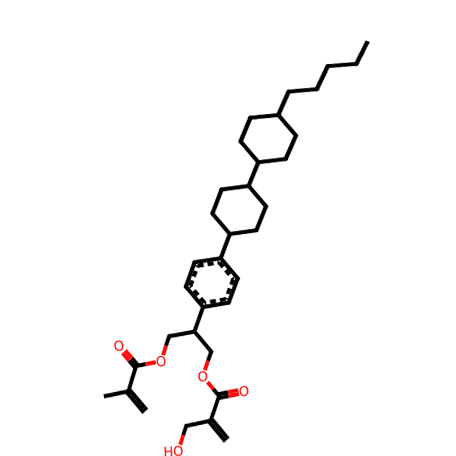 C=C(C)C(=O)OCC(COC(=O)C(=C)CO)c1ccc(C2CCC(C3CCC(CCCCC)CC3)CC2)cc1